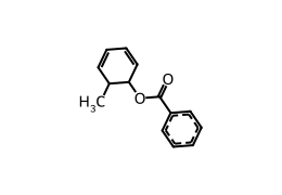 CC1C=CC=CC1OC(=O)c1ccccc1